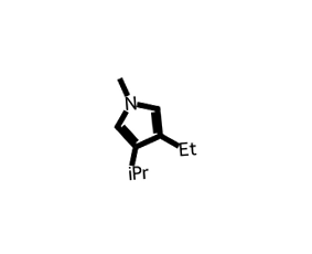 CCc1cn(C)cc1C(C)C